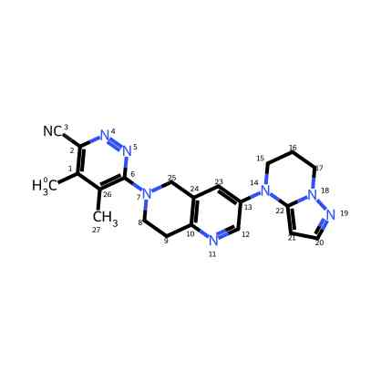 Cc1c(C#N)nnc(N2CCc3ncc(N4CCCn5nccc54)cc3C2)c1C